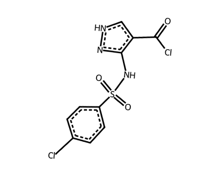 O=C(Cl)c1c[nH]nc1NS(=O)(=O)c1ccc(Cl)cc1